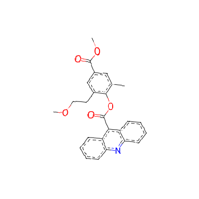 COCCc1cc(C(=O)OC)cc(C)c1OC(=O)c1c2ccccc2nc2ccccc12